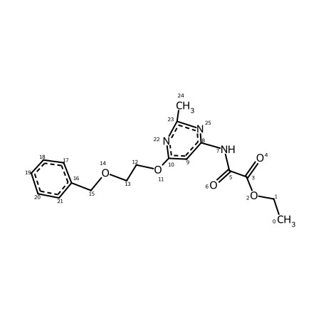 CCOC(=O)C(=O)Nc1cc(OCCOCc2ccccc2)nc(C)n1